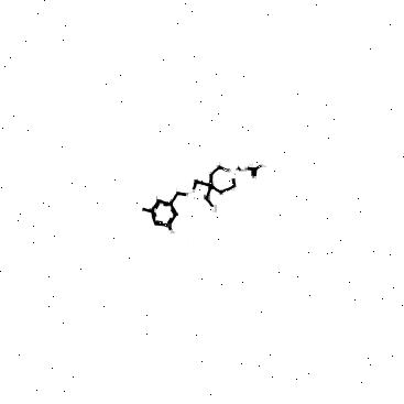 CC(C)CC1(C(=O)NCc2cc(C(F)(F)F)cc(C(F)(F)F)c2)CCN(OC(=O)C(F)(F)F)CC1